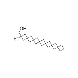 CCC1(CO)CC2(C1)CC1(C2)CC2(C1)CC1(CC3(CC4(CCC4)C3)C1)C2